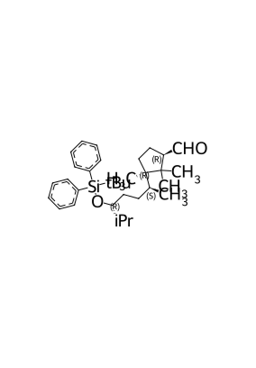 CC(C)[C@@H](CC[C@H](C)[C@@]1(C)CC[C@@H](C=O)C1(C)C)O[Si](c1ccccc1)(c1ccccc1)C(C)(C)C